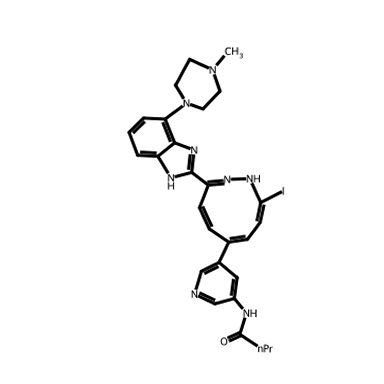 CCCC(=O)Nc1cncc(-c2ccc(-c3nc4c(N5CCN(C)CC5)cccc4[nH]3)n[nH]c(I)cc2)c1